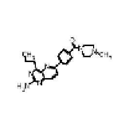 CCCc1nc(N)nc2ccc(-c3ccc(C(=O)N4CCN(C)CC4)cc3)nc12